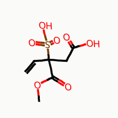 C=CC(CC(=O)O)(C(=O)OC)S(=O)(=O)O